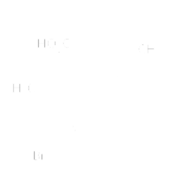 Cc1ccc(Br)c(C)c1C(=O)O